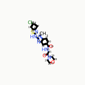 Cn1c(Nc2nc3ccc(Cl)cc3s2)nc2cc(C(=O)NCC(=O)N3CCOCC3)ccc21